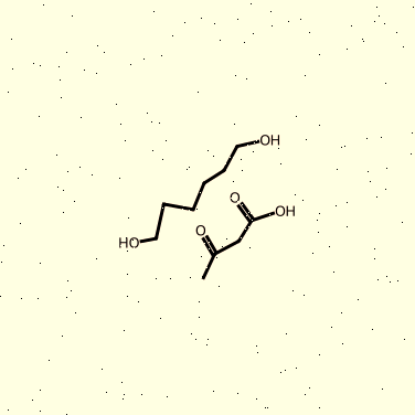 CC(=O)CC(=O)O.OCCCCCCO